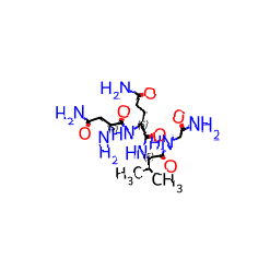 CC(C)[C@H](NC(=O)[C@H](CCC(N)=O)NC(=O)[C@@H](N)CC(N)=O)C(=O)NCC(N)=O